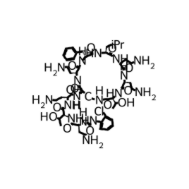 CC(C)C[C@@H]1NC(=O)[C@@H](Cc2ccccc2)NC(=O)[C@H](CCN)NC(=O)C(NC(=O)[C@H](CCN)NC(=O)[C@@H](NC(=O)[C@H](CCN)NC(=O)Nc2ccccc2Cl)C(C)O)CCNC(=O)[C@H](C(C)O)NC(=O)[C@H](CCN)NC(=O)C(CCN)NC1=O